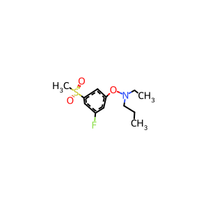 CCCN(CC)Oc1cc(F)cc(S(C)(=O)=O)c1